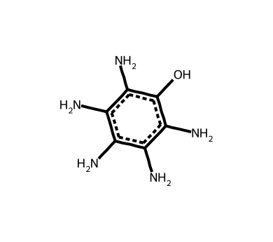 Nc1c(N)c(N)c(O)c(N)c1N